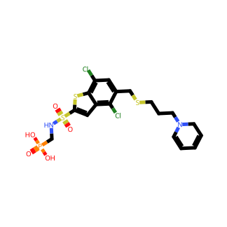 O=P(O)(O)CNS(=O)(=O)c1cc2c(Cl)c(CSCCCN3C=CC=CC3)cc(Cl)c2s1